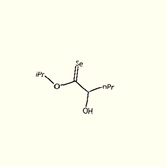 CCCC(O)C(=[Se])OC(C)C